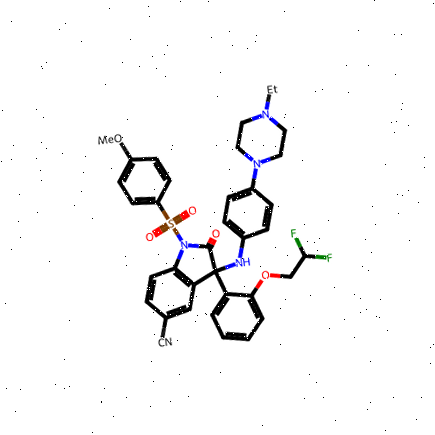 CCN1CCN(c2ccc(NC3(c4ccccc4OCC(F)F)C(=O)N(S(=O)(=O)c4ccc(OC)cc4)c4ccc(C#N)cc43)cc2)CC1